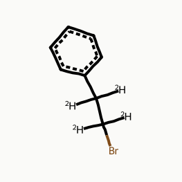 [2H]C([2H])(Br)C([2H])([2H])c1ccccc1